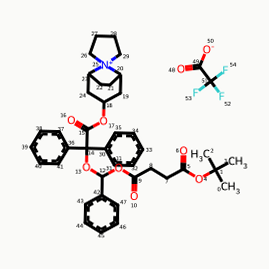 CC(C)(C)OC(=O)CCC(=O)OC(OC(C(=O)OC1CC2CCC(C1)[N+]21CCCC1)(c1ccccc1)c1ccccc1)c1ccccc1.O=C([O-])C(F)(F)F